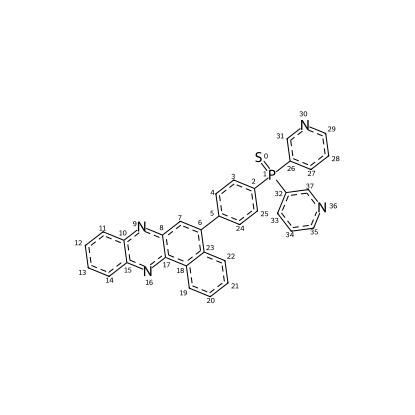 S=P(c1ccc(-c2cc3nc4ccccc4nc3c3ccccc23)cc1)(c1cccnc1)c1cccnc1